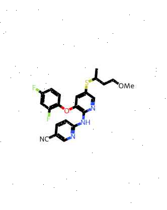 COCCC(C)Sc1cnc(Nc2ccc(C#N)cn2)c(Oc2ccc(F)cc2F)c1